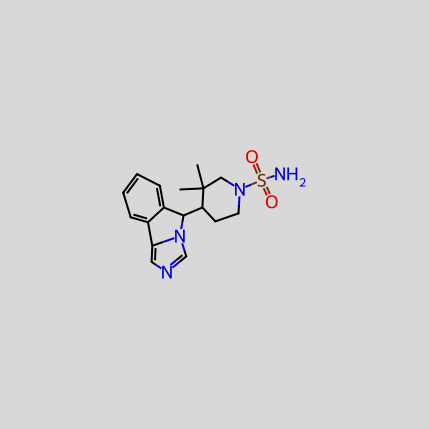 CC1(C)CN(S(N)(=O)=O)CCC1C1c2ccccc2-c2cncn21